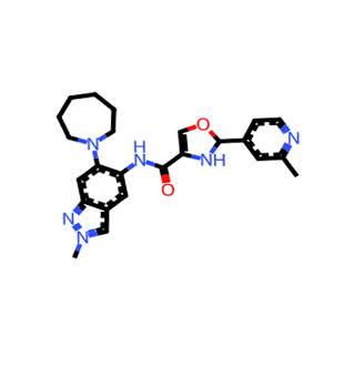 Cc1cc(C2NC(C(=O)Nc3cc4cn(C)nc4cc3N3CCCCCC3)=CO2)ccn1